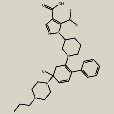 CCCN1CCN(C2(Cl)C=CC(c3ccccc3)=C(N3CCCC(n4ncc(C(=O)O)c4C(F)F)C3)C2)CC1